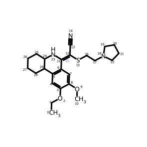 CCOc1cc2c(cc1OC)/C(=C(/C#N)SCCN1CCCC1)NC1CCCCC21